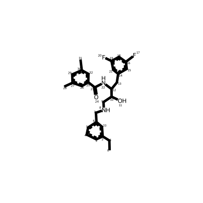 CCc1cccc(CNCC(O)C(Cc2cc(F)cc(F)c2)NC(=O)c2cc(C)cc(C)c2)c1